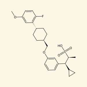 COc1ccc(F)c([C@H]2CC[C@H](COc3cccc([C@H](C4CC4)[C@H](C)S(=O)(=O)O)c3)CC2)c1